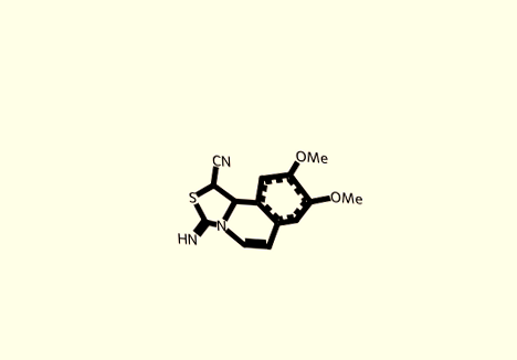 COc1cc2c(cc1OC)C1C(C#N)SC(=N)N1C=C2